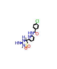 CN1C(=N)N[C@](C)(c2cccc(NC(=O)c3ccc(Cl)cc3)n2)CS1(=O)=O